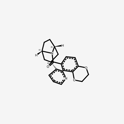 O=C(c1ccc2c(c1)OCCO2)N1[C@@H]2CC[C@H]1C[C@@H](c1cccnc1)C2